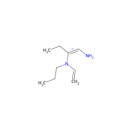 C=CN(CCC)/C(=C\N)CC